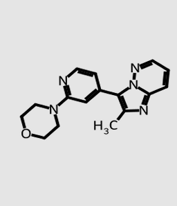 Cc1nc2cccnn2c1-c1ccnc(N2CCOCC2)c1